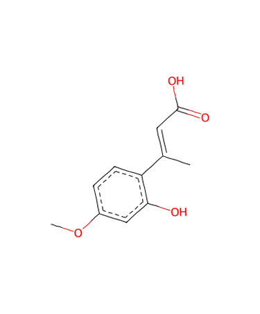 COc1ccc(C(C)=CC(=O)O)c(O)c1